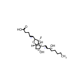 CCCCC[C@@H](O)/C=C/[C@@H]1[C@@H]2[C@H](C[C@H]1O)OC(/C=C/CCC(=O)O)[C@@H]2F